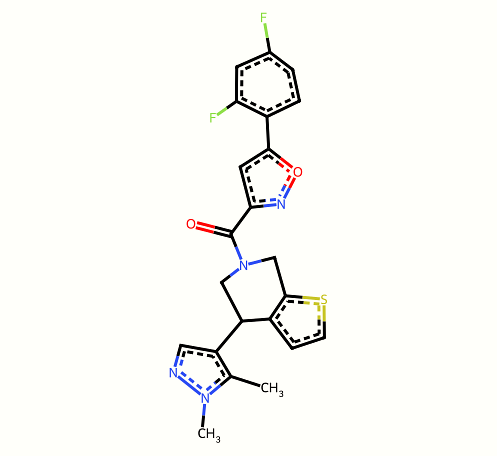 Cc1c(C2CN(C(=O)c3cc(-c4ccc(F)cc4F)on3)Cc3sccc32)cnn1C